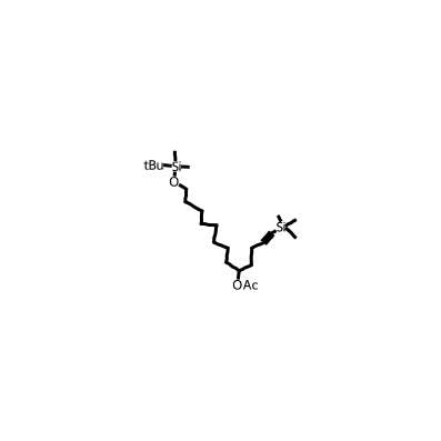 CC(=O)OC(CCC#C[Si](C)(C)C)CCCCCCCCO[Si](C)(C)C(C)(C)C